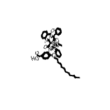 CCCCCCCCCCCCOc1ccc(C(=O)O)cc1NC(=O)C(OS(=O)(=O)c1ccccc1)C1=NC2CCCCC2C(=O)N1C(C(=O)OCC)c1ccccc1